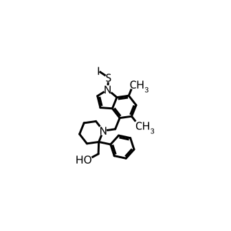 Cc1cc(C)c2c(ccn2SI)c1CN1CCCCC1(CO)c1ccccc1